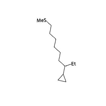 CC[C](CCCCCCSC)C1CC1